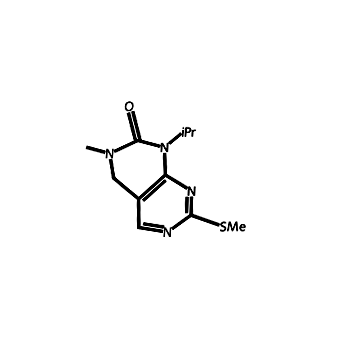 CSc1ncc2c(n1)N(C(C)C)C(=O)N(C)C2